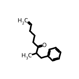 C=CCCCC(=O)C(C)Cc1ccccc1